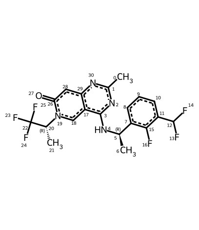 Cc1nc(N[C@H](C)c2cccc(C(F)F)c2F)c2cn([C@H](C)C(F)(F)F)c(=O)cc2n1